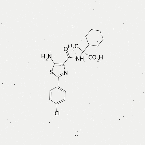 C[C@@](NC(=O)c1nc(-c2ccc(Cl)cc2)sc1N)(C(=O)O)C1CCCCC1